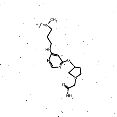 CN(C)CCCNc1cc(OC2CCN(CC(N)=O)C2)ncn1